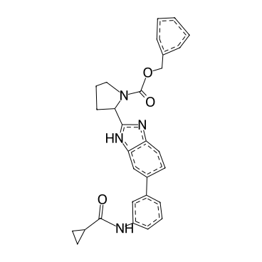 O=C(Nc1cccc(-c2ccc3nc(C4CCCN4C(=O)OCc4ccccc4)[nH]c3c2)c1)C1CC1